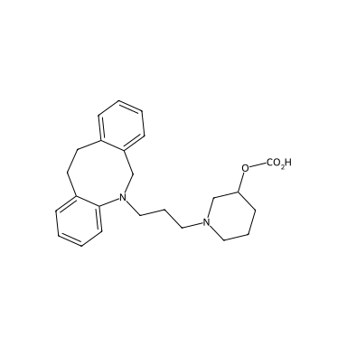 O=C(O)OC1CCCN(CCCN2Cc3ccccc3CCc3ccccc32)C1